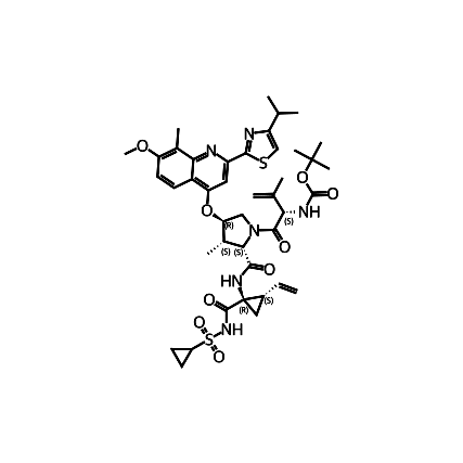 C=C[C@@H]1C[C@]1(NC(=O)[C@@H]1[C@H](C)[C@@H](Oc2cc(-c3nc(C(C)C)cs3)nc3c(C)c(OC)ccc23)CN1C(=O)[C@@H](NC(=O)OC(C)(C)C)C(=C)C)C(=O)NS(=O)(=O)C1CC1